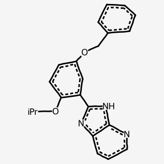 CC(C)Oc1ccc(OCc2ccccc2)cc1-c1nc2cccnc2[nH]1